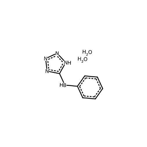 B(c1ccccc1)c1nnn[nH]1.O.O